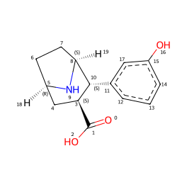 O=C(O)[C@H]1C[C@H]2CC[C@H](N2)[C@@H]1c1cccc(O)c1